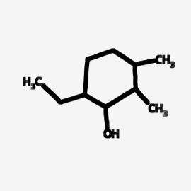 CCC1CCC(C)C(C)C1O